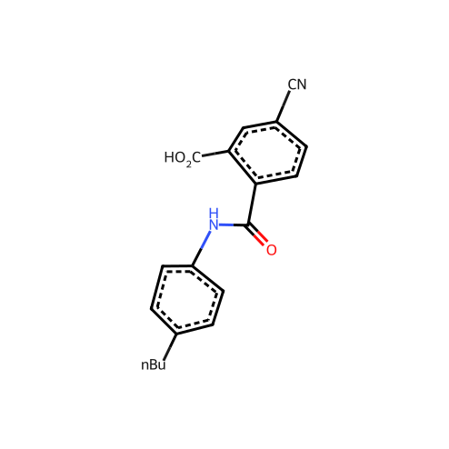 CCCCc1ccc(NC(=O)c2ccc(C#N)cc2C(=O)O)cc1